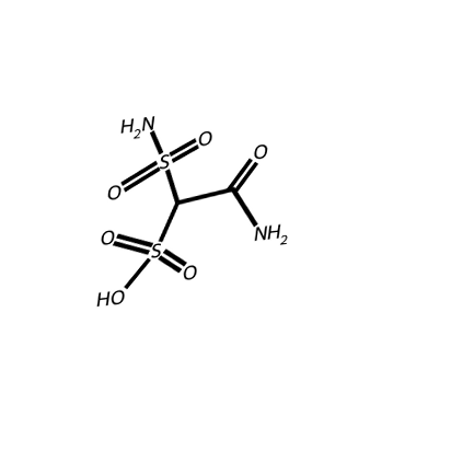 NC(=O)C(S(N)(=O)=O)S(=O)(=O)O